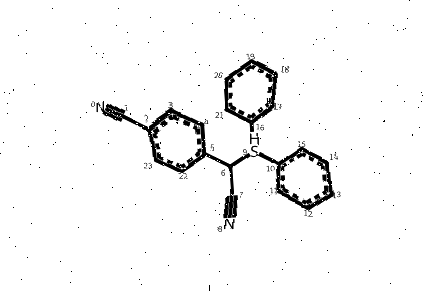 N#Cc1ccc(C(C#N)[SH](c2ccccc2)c2ccccc2)cc1